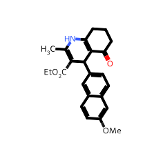 CCOC(=O)C1=C(C)NC2=C(C(=O)CCC2)C1c1ccc2cc(OC)ccc2c1